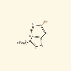 CCCCCC1=CCc2cc(Br)ccc21